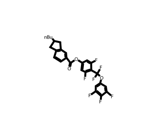 CCCCC1Cc2ccc(C(=O)Oc3cc(F)c(C(F)(F)Oc4cc(F)c(F)c(F)c4)c(F)c3)cc2C1